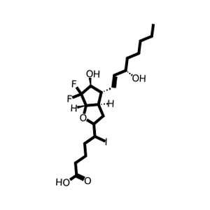 CCCCC[C@H](O)/C=C/[C@@H]1[C@H]2CC(C(I)CCCC(=O)O)O[C@@H]2C(F)(F)[C@H]1O